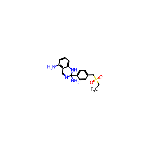 Nc1cccc2c1C=NC(N)(c1ccc(CS(=O)(=O)CC(F)(F)F)cc1)N2